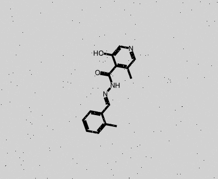 Cc1ccccc1C=NNC(=O)c1c(C)cncc1O